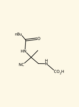 CCCCC(=O)NC(C)(C#N)CNC(=O)O